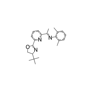 C/C(=N\c1c(C)cccc1C)c1cccc(C2=NC(C(C)(C)C)CO2)n1